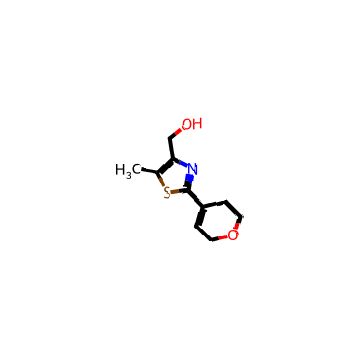 Cc1sc(C2=CCOCC2)nc1CO